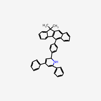 CC1(C)c2ccccc2-c2c1cc1ccccc1c2-c1ccc(C2C=C(c3ccccc3)C=C(c3ccccc3)N2)cc1